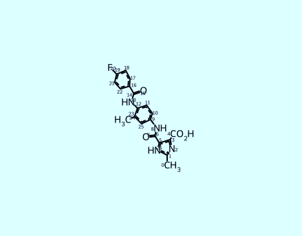 Cc1nc(C(=O)O)c(C(=O)Nc2ccc(NC(=O)c3ccc(F)cc3)c(C)c2)[nH]1